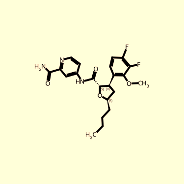 CCCC[C@@H]1C[C@H](c2ccc(F)c(F)c2OC)[C@@H](C(=O)Nc2ccnc(C(N)=O)c2)O1